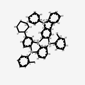 Cc1ccccc1N1c2ccc(C3CCCCC3)cc2B2c3cc4c(cc3N(c3ccccc3C)c3cccc1c32)c1ccccc1n4-c1ccccc1